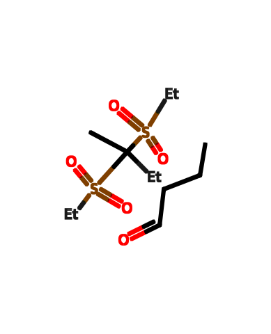 CCC(C)(S(=O)(=O)CC)S(=O)(=O)CC.CCCC=O